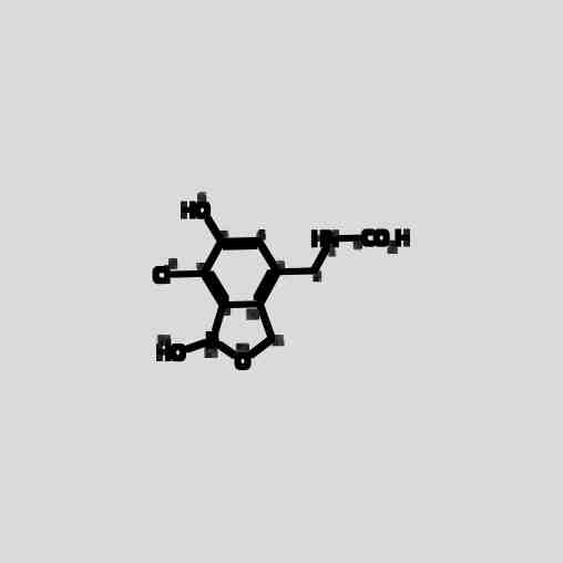 O=C(O)NCc1cc(O)c(Cl)c2c1COB2O